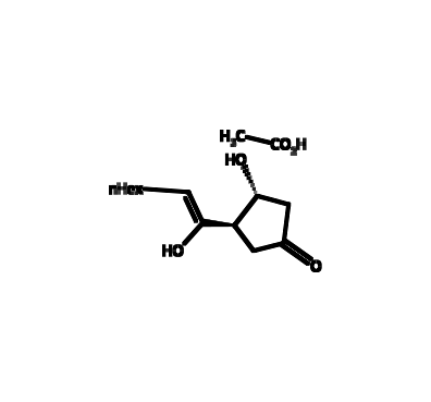 CC(=O)O.CCCCCCC=C(O)[C@@H]1CC(=O)C[C@H]1O